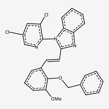 COc1cccc(C=Cc2nc3ccccc3n2-c2ncc(Cl)cc2Cl)c1OCc1ccccc1